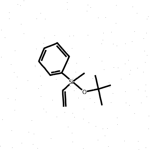 C=C[Si](C)(OC(C)(C)C)c1ccccc1